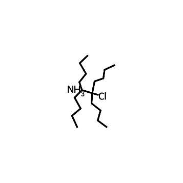 CCCCC(CCCC)C(Cl)(CCCC)CCCC.N